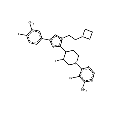 Cc1cc(-c2cn(CCN3CCC3)c(C3CCN(c4ncnc(N)c4C(C)C)CC3F)n2)ccc1F